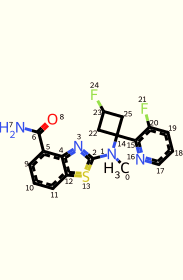 CN(c1nc2c(C(N)=O)cccc2s1)C1(c2ncccc2F)CC(F)C1